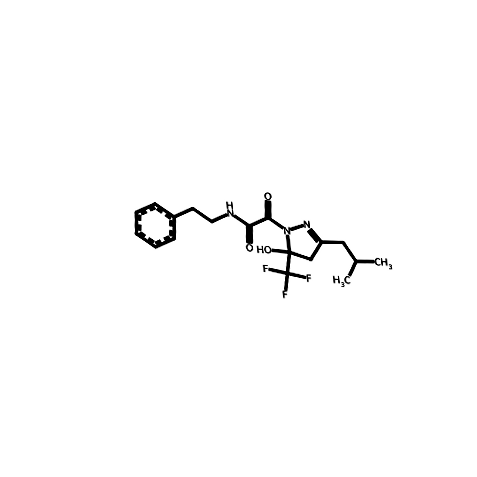 CC(C)CC1=NN(C(=O)C(=O)NCCc2ccccc2)C(O)(C(F)(F)F)C1